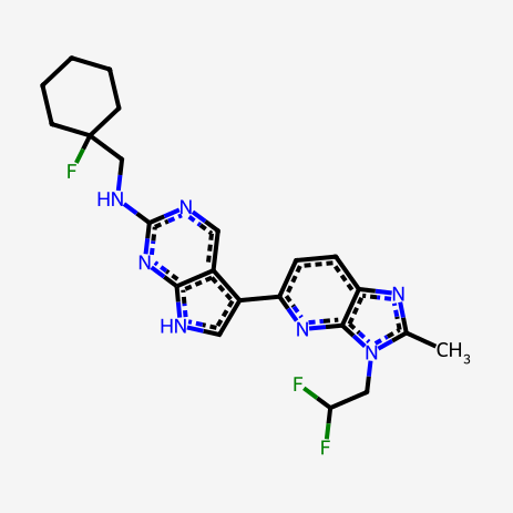 Cc1nc2ccc(-c3c[nH]c4nc(NCC5(F)CCCCC5)ncc34)nc2n1CC(F)F